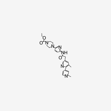 CCOC(=O)N1CCN(c2ccc(NC(=O)Cc3cnc(-c4ccnc(C)c4)c(C)c3)nc2)CC1